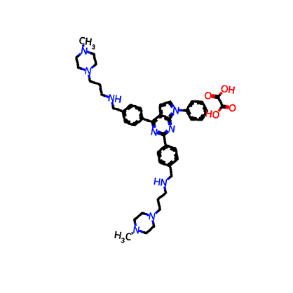 CN1CCN(CCCNCc2ccc(-c3nc(-c4ccc(CNCCCN5CCN(C)CC5)cc4)c4ccn(-c5ccccc5)c4n3)cc2)CC1.O=C(O)C(=O)O